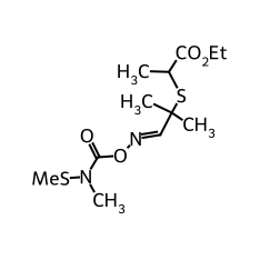 CCOC(=O)C(C)SC(C)(C)C=NOC(=O)N(C)SC